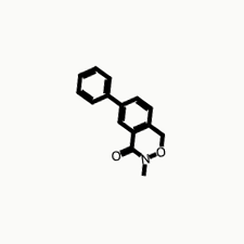 CN1OCc2ccc(-c3ccccc3)cc2C1=O